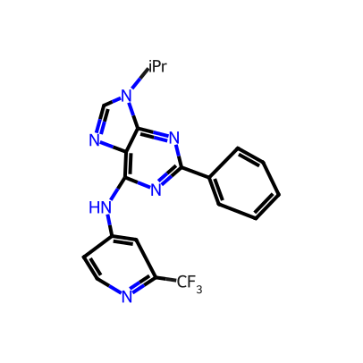 CC(C)n1cnc2c(Nc3ccnc(C(F)(F)F)c3)nc(-c3ccccc3)nc21